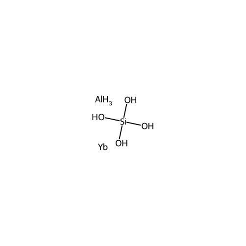 O[Si](O)(O)O.[AlH3].[Yb]